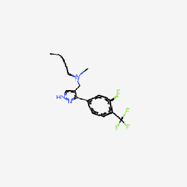 CCCN(C)Cc1c[nH]nc1-c1ccc(C(F)(F)F)c(F)c1